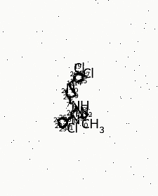 Cc1cnn2c(NCC3CCN(Cc4ccc(Cl)c(Cl)c4)CC3)cc(-c3ccccc3Cl)nc12